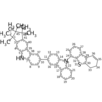 CC1(C)c2cc3[nH]c4ccc(-c5ccc6c(c5)c5ccccc5n6-c5cccc6c7c(sc56)CCC=C7)cc4c3cc2C(C)(C)C1(C)C